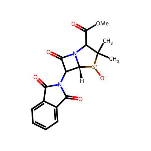 COC(=O)C1N2C(=O)C(N3C(=O)c4ccccc4C3=O)[C@H]2[S+]([O-])C1(C)C